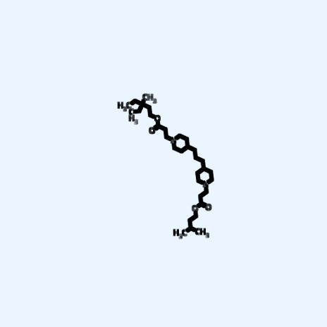 CCC(C)(CC)CCOC(=O)CCN1CCC(CCCC2CCN(CCC(=O)OCCC(C)C)CC2)CC1